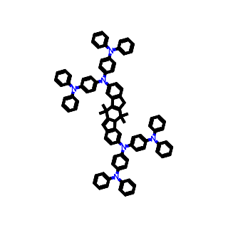 CC1(C)C2=Cc3ccc(N(c4ccc(N(c5ccccc5)c5ccccc5)cc4)c4ccc(N(c5ccccc5)c5ccccc5)cc4)cc3C2C(C)(C)C2=C1c1cc(N(c3ccc(N(c4ccccc4)c4ccccc4)cc3)c3ccc(N(c4ccccc4)c4ccccc4)cc3)ccc1C2